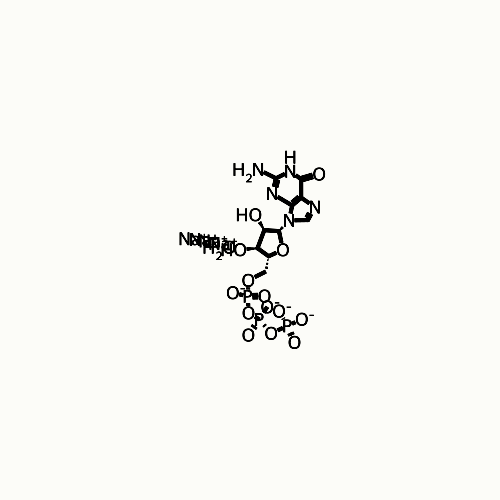 Nc1nc2c(ncn2[C@@H]2O[C@H](COP(=O)([O-])OP(=O)([O-])OP(=O)([O-])[O-])[C@@H](O)[C@H]2O)c(=O)[nH]1.O.[Na+].[Na+].[Na+].[Na+]